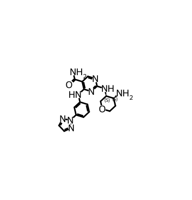 NC(=O)c1cnc(N[C@@H]2COCC[C@@H]2N)nc1Nc1cccc(-n2nccn2)c1